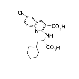 O=C(O)c1cc2cc(Cl)ccc2nc1N[C@@H](CC1CCCCC1)C(=O)O